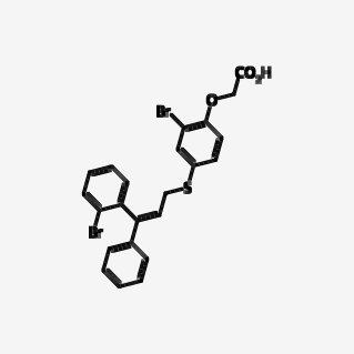 O=C(O)COc1ccc(SCC=C(c2ccccc2)c2ccccc2Br)cc1Br